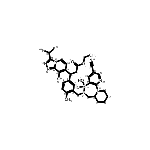 CCOC(=O)CC(c1ccc(C)c(CN2CC3CCCCN3c3ncc(C#N)cc3S2(O)O)c1)c1ccn2c(C(F)F)nnc2c1C